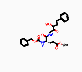 CC(C)(C)OC(=O)CC[C@H](NC(=O)OCc1ccccc1)C(=O)NCC(=O)C(O)CCc1ccccc1